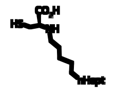 CCCCCCCCCCCCN[C@@H](CS)C(=O)O